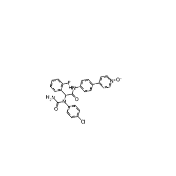 NC(=O)N(c1ccc(Cl)cc1)C(C(=O)Nc1ccc(-c2cc[n+]([O-])cc2)cc1)c1ccccc1F